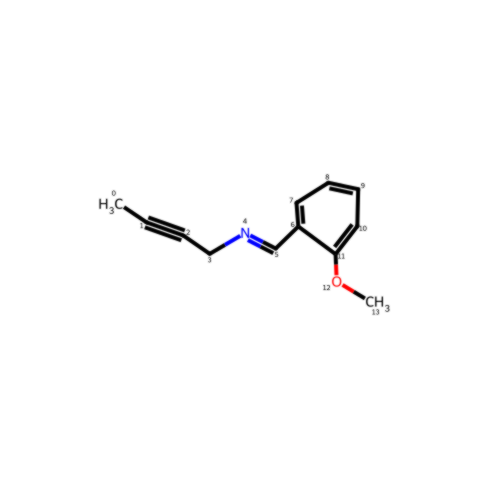 CC#CCN=Cc1ccccc1OC